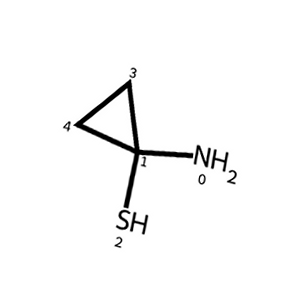 NC1(S)CC1